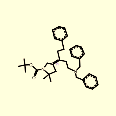 CC(C)(C)OC(=O)N1C/C(=C(\CCc2ccccc2)CCN(Cc2ccccc2)Cc2ccccc2)CC1(C)C